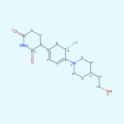 O=C1CCC(C2=CC=C(N3CCC(CCO)CC3)C(F)C2)C(=O)N1